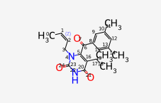 C/C=C\Cn1c(C(=O)c2cc(C)cc(C)c2)c(C(C)C)c(=O)[nH]c1=O